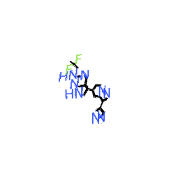 Cn1cc(-c2cnn3ccc(-c4c[nH]c5nc(NCC(C)(F)F)ncc45)cc23)cn1